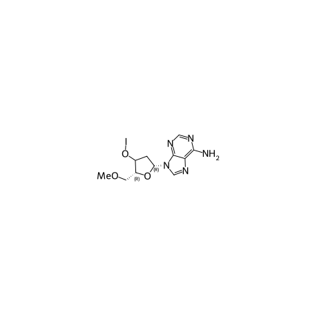 COC[C@H]1O[C@@H](n2cnc3c(N)ncnc32)CC1OI